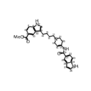 COC(=O)c1ccc2[nH]cc(CCCCN3CC=C(NC(=O)c4ccc5[nH]ccc5c4)CC3)c2c1